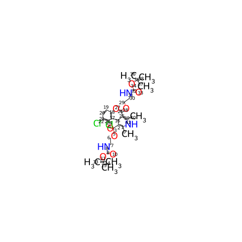 CC1=C(C(=O)OCCNC(=O)OC(C)(C)C)C(c2cccc(Cl)c2Cl)C(C(=O)OCCNC(=O)OC(C)(C)C)=C(C)N1